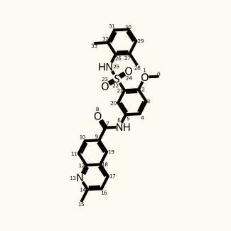 COc1ccc(NC(=O)c2ccc3nc(C)ccc3c2)cc1S(=O)(=O)Nc1c(C)cccc1C